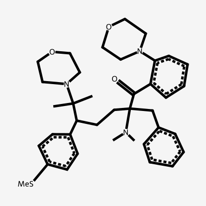 CSc1ccc(C(CCC(Cc2ccccc2)(C(=O)c2ccccc2N2CCOCC2)N(C)C)C(C)(C)N2CCOCC2)cc1